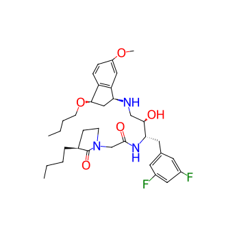 CCCCO[C@@H]1C[C@H](NC[C@@H](O)[C@H](Cc2cc(F)cc(F)c2)NC(=O)CN2CC[C@H](CCCC)C2=O)c2cc(OC)ccc21